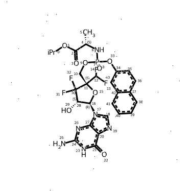 CC(C)OC(=O)[C@H](C)NP(=O)(OC[C@@]1(C(F)F)O[C@@H](n2cnc3c(=O)[nH]c(N)nc32)[C@H](O)C1(F)F)Oc1ccc2ccccc2c1